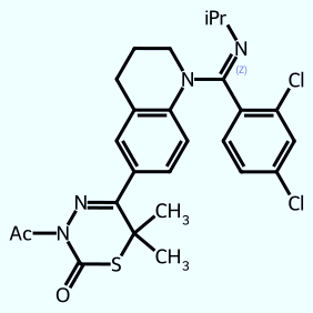 CC(=O)N1N=C(c2ccc3c(c2)CCCN3/C(=N\C(C)C)c2ccc(Cl)cc2Cl)C(C)(C)SC1=O